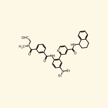 CCN(CC)c1ccc(NC(=O)c2cccc(C(=O)N(C)CC=O)c2)c(-c2cc(C(=O)NC3CCCc4ccccc43)ccn2)c1